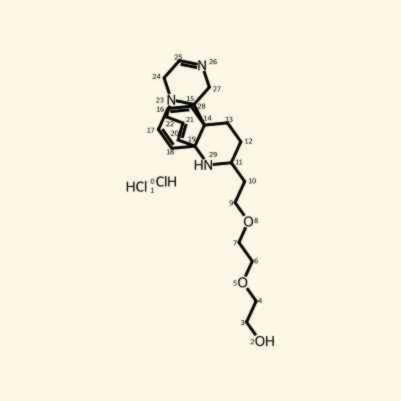 Cl.Cl.OCCOCCOCCC1CCC23C=CC=CC2(C=CCN2CC=NCC23)N1